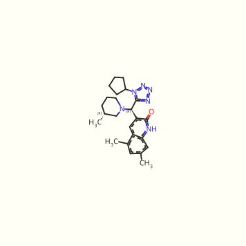 Cc1cc(C)c2cc([C@H](c3nnnn3C3CCCC3)N3CCC[C@@H](C)C3)c(=O)[nH]c2c1